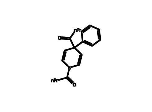 CCCC(=O)N1C=CC(C(=O)CCC)(c2ccccc2)C=C1